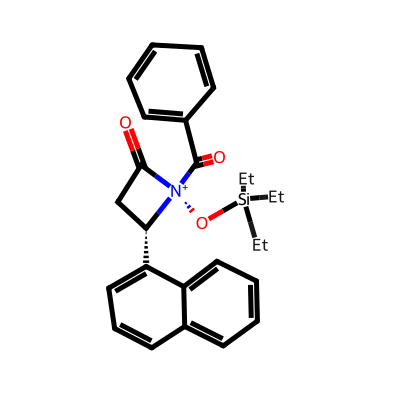 CC[Si](CC)(CC)O[N@@+]1(C(=O)c2ccccc2)C(=O)C[C@H]1c1cccc2ccccc12